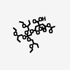 CCOC(CC)COC(COC(=O)CC(O)(CC(=O)OC(C)=O)C(=O)O)(OCC(CC)OCC)OCC(CC)OCC